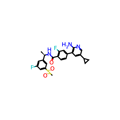 C[C@@H](NC(=O)c1ccc(-c2cc(C3CC3)cnc2N)cc1F)c1cc(F)cc(S(C)(=O)=O)c1